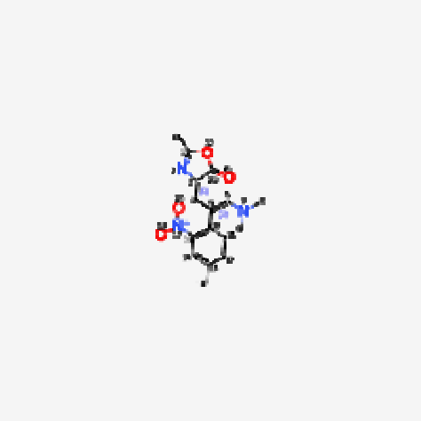 CC1=N/C(=C/C(=C/N(C)C)c2ccc(C)cc2[N+](=O)[O-])C(=O)O1